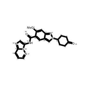 COc1cc2nn(C3CCC(=O)CC3)cc2cc1C(=O)Nc1cnc2cccnn12